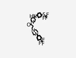 O=C(CCN1CCN(c2ccc(C(F)(F)F)cc2)CC1)N1CCC(Nc2ccc(SC(F)(F)F)cc2)CC1